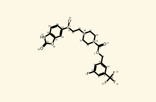 O=C(OCc1cc(F)cc(C(F)(F)F)c1)N1CCN(CC[S+]([O-])c2ccc3[nH]c(=O)oc3c2)CC1